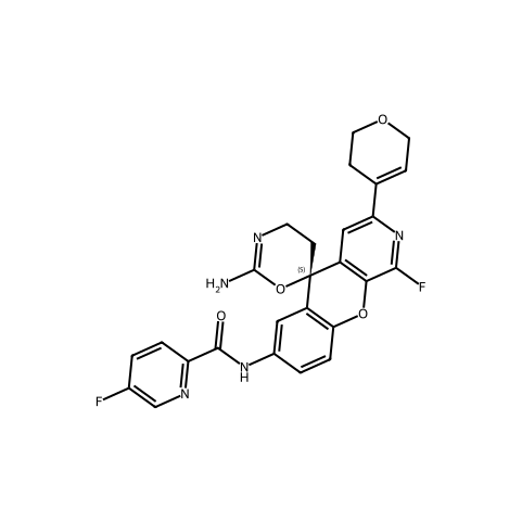 NC1=NCC[C@]2(O1)c1cc(NC(=O)c3ccc(F)cn3)ccc1Oc1c2cc(C2=CCOCC2)nc1F